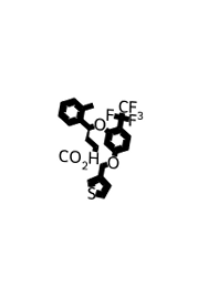 Cc1ccccc1[C@H](CCC(=O)O)Oc1cc(OCc2ccsc2)ccc1C(F)(F)C(F)(F)F